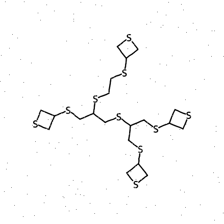 C(CSC(CSC1CSC1)CSC(CSC1CSC1)CSC1CSC1)SC1CSC1